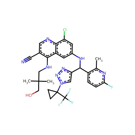 Cc1nc(F)ccc1C(Nc1cc(Cl)c2ncc(C#N)c(NCC(C)(C)CO)c2c1)c1cn(C2(C(F)(F)F)CC2)nn1